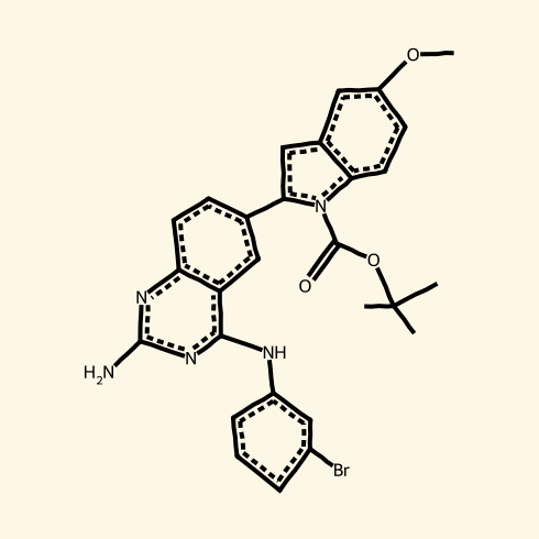 COc1ccc2c(c1)cc(-c1ccc3nc(N)nc(Nc4cccc(Br)c4)c3c1)n2C(=O)OC(C)(C)C